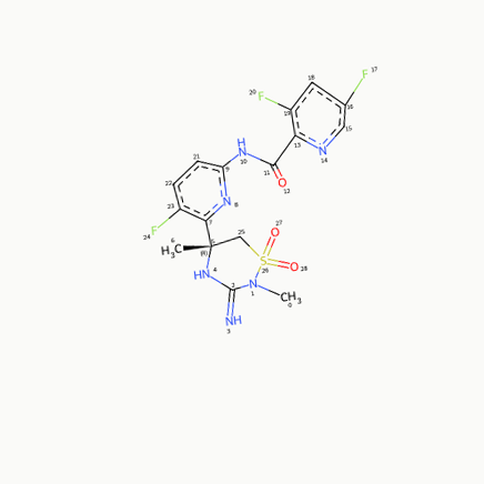 CN1C(=N)N[C@](C)(c2nc(NC(=O)c3ncc(F)cc3F)ccc2F)CS1(=O)=O